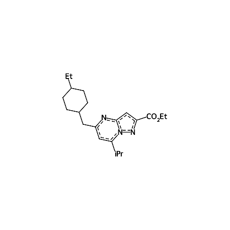 CCOC(=O)c1cc2nc(CC3CCC(CC)CC3)cc(C(C)C)n2n1